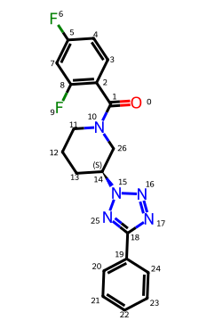 O=C(c1ccc(F)cc1F)N1CCC[C@H](n2nnc(-c3ccccc3)n2)C1